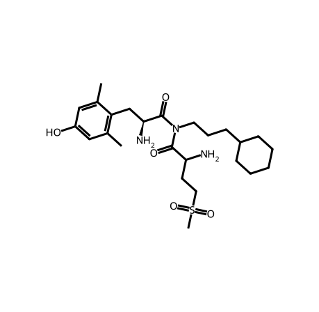 Cc1cc(O)cc(C)c1C[C@H](N)C(=O)N(CCCC1CCCCC1)C(=O)C(N)CCS(C)(=O)=O